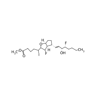 CCCC[C@@H](F)[C@H](O)/C=C/[C@H]1CC[C@@H]2OC(C(I)CCCC(=O)OC)C(F)[C@@H]21